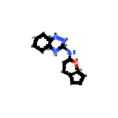 c1cc2ccc(Nc3nnc4ccccc4n3)oc-2c1